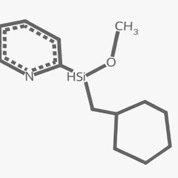 CO[SiH](CC1CCCCC1)c1ccccn1